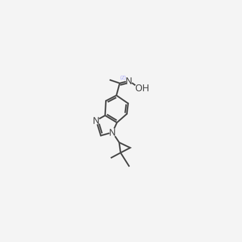 C/C(=N/O)c1ccc2c(c1)ncn2C1CC1(C)C